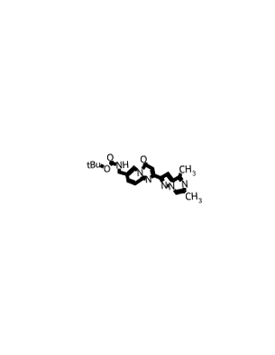 Cc1cn2nc(-c3cc(=O)n4cc(CNC(=O)OC(C)(C)C)ccc4n3)cc2c(C)n1